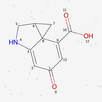 O=C1C=C2NCC3CC23C(C(=O)O)=C1